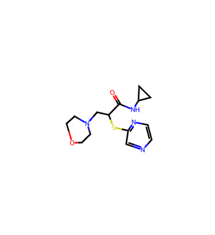 O=C(NC1CC1)C(CN1CCOCC1)Sc1cnccn1